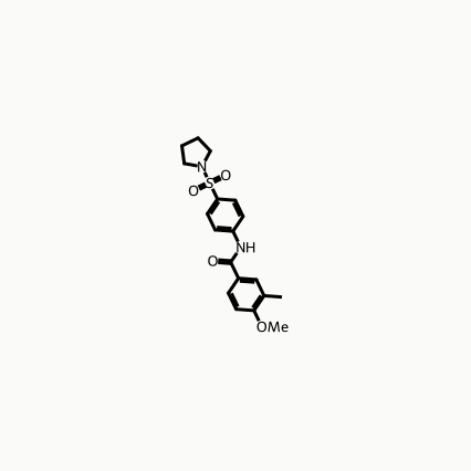 COc1ccc(C(=O)Nc2ccc(S(=O)(=O)N3CCCC3)cc2)cc1C